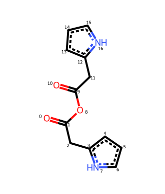 O=C(Cc1ccc[nH]1)OC(=O)Cc1ccc[nH]1